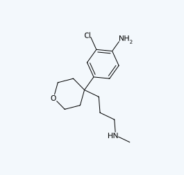 CNCCCC1(c2ccc(N)c(Cl)c2)CCOCC1